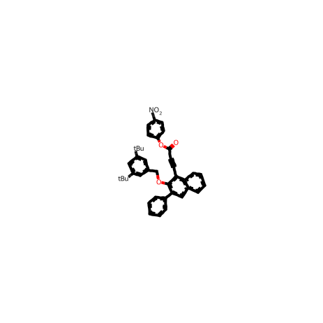 CC(C)(C)c1cc(COc2c(-c3ccccc3)cc3ccccc3c2C#CC(=O)Oc2ccc([N+](=O)[O-])cc2)cc(C(C)(C)C)c1